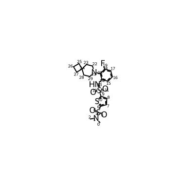 CN(C)S(=O)(=O)c1ccc(S(=O)(=O)Nc2cccc(F)c2N2CCC3(CCC3)CC2)s1